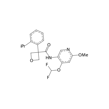 COc1cc(OC(F)F)c(NC(=O)C2(c3ccccc3C(C)C)COC2)cn1